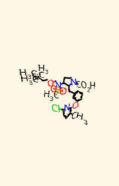 Cc1ccc(Cl)nc1Oc1cccc(CC2C(N(COCC[Si](C)(C)C)S(C)(=O)=O)CCN2C(=O)O)c1